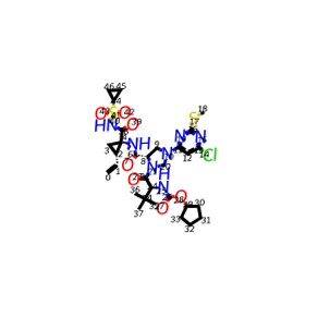 C=C[C@@H]1C[C@]1(NC(=O)[C@@H]1CN(c2cc(Cl)nc(SC)n2)CN1C(=O)[C@@H](NC(=O)OC1CCCC1)C(C)(C)C)C(=O)NS(=O)(=O)C1CC1